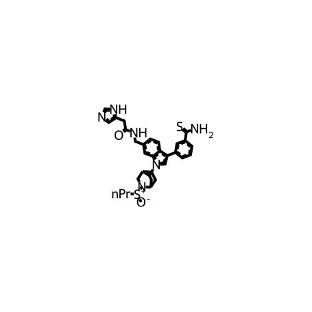 CCC[S+]([O-])N1CC2CCC1CC2n1cc(-c2cccc(C(N)=S)c2)c2ccc(CNC(=O)Cc3cnc[nH]3)cc21